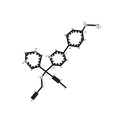 C#CCOC(C#CC)(c1cncnc1)c1ccc(-c2ccc(OC(F)(F)F)cc2)cn1